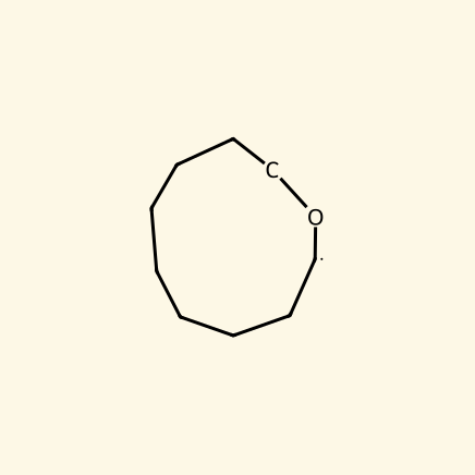 [CH]1CCCCCCCCO1